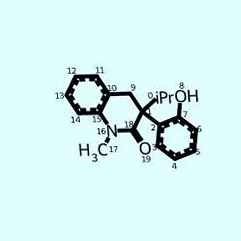 CC(C)C1(c2ccccc2O)Cc2ccccc2N(C)C1=O